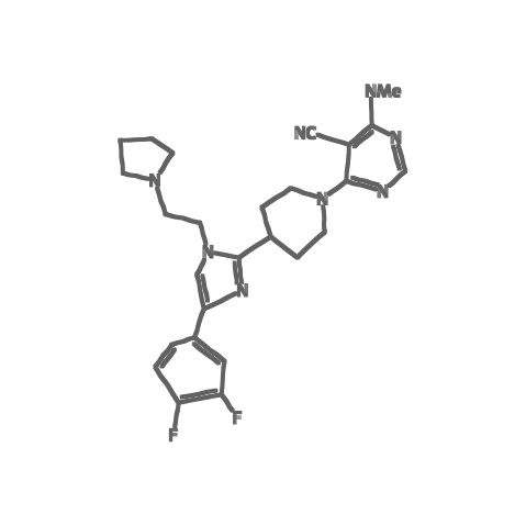 CNc1ncnc(N2CCC(c3nc(-c4ccc(F)c(F)c4)cn3CCN3CCCC3)CC2)c1C#N